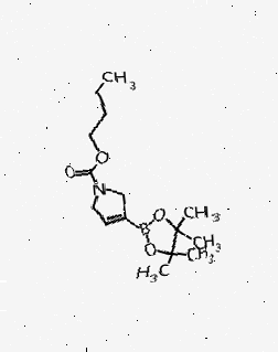 CCCCOC(=O)N1CC=C(B2OC(C)(C)C(C)(C)O2)C1